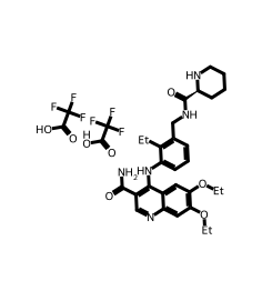 CCOc1cc2ncc(C(N)=O)c(Nc3cccc(CNC(=O)[C@@H]4CCCCN4)c3CC)c2cc1OCC.O=C(O)C(F)(F)F.O=C(O)C(F)(F)F